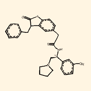 O=C(Cc1ccc2c(c1)C(Cc1ccccc1)C(=O)S2)N[C@H](CN1CCCC1)c1cccc(O)c1